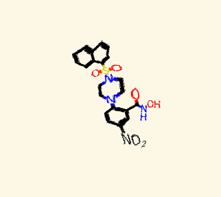 O=C(NO)c1cc([N+](=O)[O-])ccc1N1CCN(S(=O)(=O)c2cccc3ccccc23)CC1